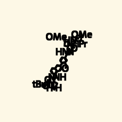 COC[C@H]1C[C@H](c2ncc(-c3ccc4c(c3)COc3cc5c(ccc6nc([C@H]7C[C@H]8C[C@H]8N7C(=O)OC(C)(C)C)[nH]c65)cc3-4)[nH]2)N(C(=O)[C@@H](NC(=O)OC)C(C)C)C1